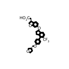 O=C(O)C[C@@H]1COc2cc(O[C@@H]3CCc4c3ccc(C(F)(F)F)c4-c3ccc(OC[C@@H]4CCOC4)cc3)ccc21